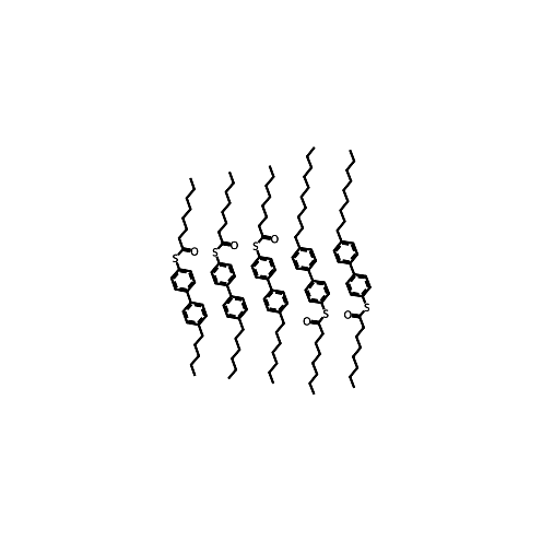 CCCCCCCC(=O)Sc1ccc(-c2ccc(CCCCC)cc2)cc1.CCCCCCCC(=O)Sc1ccc(-c2ccc(CCCCCC)cc2)cc1.CCCCCCCC(=O)Sc1ccc(-c2ccc(CCCCCCC)cc2)cc1.CCCCCCCCCCc1ccc(-c2ccc(SC(=O)CCCCCCC)cc2)cc1.CCCCCCCCCc1ccc(-c2ccc(SC(=O)CCCCCCC)cc2)cc1